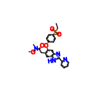 CCS(=O)(=O)c1ccc(Oc2cc3nc(-c4ccccn4)[nH]c3cc2CC(=O)N(C)OC)cc1